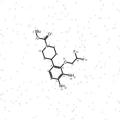 CC(C)(C)OC(=O)N1CCC(c2ccc(N)c(N)c2OCC(F)F)CC1